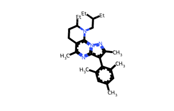 CCC(CC)CN1c2c(c(C)nc3c(-c4c(C)cc(C)cc4C)c(C)nn23)CCC1CC